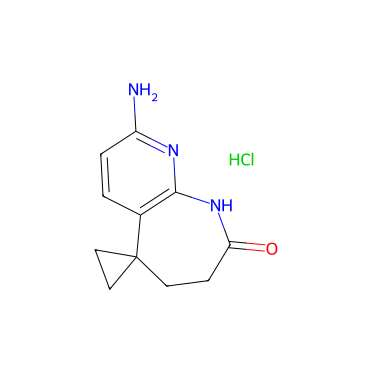 Cl.Nc1ccc2c(n1)NC(=O)CCC21CC1